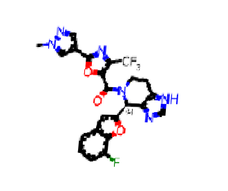 Cn1cc(-c2nc(C(F)(F)F)c(C(=O)N3CCc4[nH]cnc4[C@H]3c3cc4cccc(F)c4o3)o2)cn1